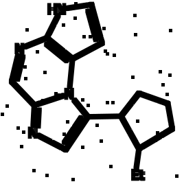 CCC1CCCC1c1cnc2cnc3[nH]ccc3n12